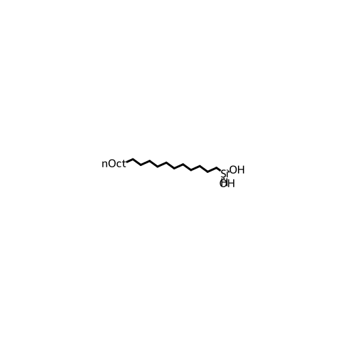 CCCCCCCCCCCCCCCCCCC[SiH](O)O